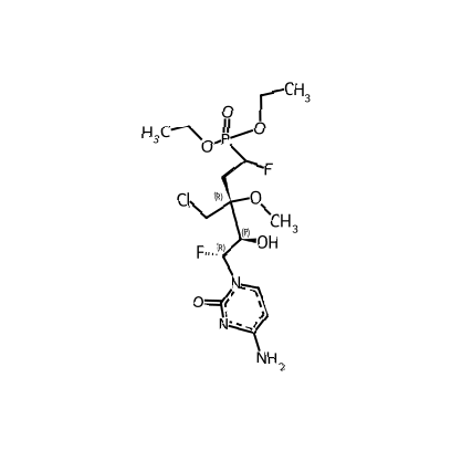 CCOP(=O)(OCC)C(F)C[C@@](CCl)(OC)[C@@H](O)[C@@H](F)n1ccc(N)nc1=O